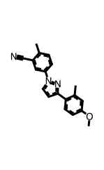 COc1ccc(-c2ccn(-c3ccc(C)c(C#N)c3)n2)c(C)c1